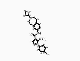 Cc1c(C(=O)Nc2ccc3c(c2)CCN(C2CCC2)CC3)cnn1-c1ccc(F)cc1